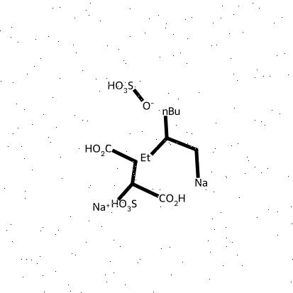 CCCCC(CC)[CH2][Na].O=C(O)CC(C(=O)O)S(=O)(=O)O.O=S(=O)([O-])O.[Na+]